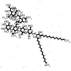 CCCCCCCCCCCCC/C=C/[C@@H](O)[C@H](CO[C@@H]1OC(CO)[C@@H](O[C@@H]2OC(CO)[C@H](O[C@@H]3OC(CO[C@]4(C(=O)O)CC(O)[C@@H](NC(C)=O)C([C@H](O)[C@@H](CO)O[C@]5(C(=O)O)CC(O)[C@@H](NC(C)=O)C([C@H](O)[C@H](O)CO)O5)O4)[C@H](O)[C@H](O[C@@H]4OC(CO)[C@H](O)[C@H](O)C4O)C3NC(C)=O)[C@H](O)C2O)[C@H](O)C1O)NC(=O)CCCCCCCCCCCCCCC